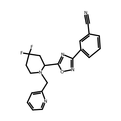 N#Cc1cccc(-c2noc(C3CC(F)(F)CCN3Cc3ccccn3)n2)c1